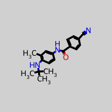 Cc1cc(NC(=O)c2ccc(C#N)cc2)ccc1NC(C)(C)C